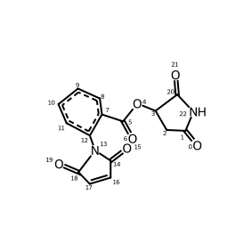 O=C1CC(OC(=O)c2ccccc2N2C(=O)C=CC2=O)C(=O)N1